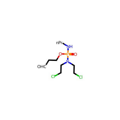 CCCNP(=O)(OCCC=O)N(CCCl)CCCl